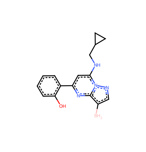 Bc1cnn2c(NCC3CC3)cc(-c3ccccc3O)nc12